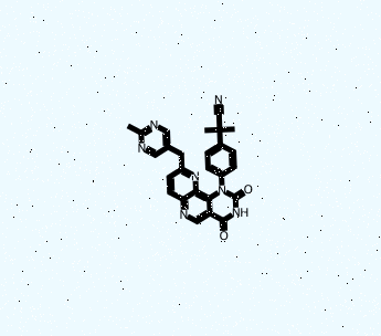 Cc1ncc(Cc2ccc3ncc4c(=O)[nH]c(=O)n(-c5ccc(C(C)(C)C#N)cc5)c4c3n2)cn1